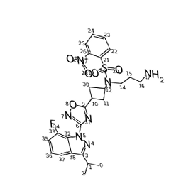 CC(C)c1nn(-c2noc(C3CC(N(CCCN)S(=O)(=O)c4ccccc4[N+](=O)[O-])C3)n2)c2c(F)cccc12